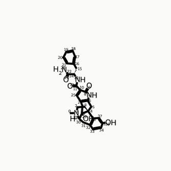 CN1CC[C@]23Cc4[nH]c(=O)c(C(=O)N[C@@H](Cc5ccccc5)C(N)=O)cc4C[C@@]2(O)[C@H]1Cc1ccc(O)cc13